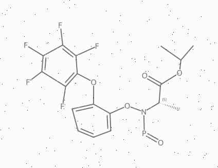 CC(C)OC(=O)[C@H](C)N(Oc1ccccc1Oc1c(F)c(F)c(F)c(F)c1F)P=O